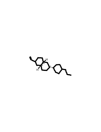 C=CC1CC[C@@H]2C[C@H](C3CCC(CCC)CC3)CC[C@@H]2C1